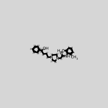 Cc1cccc(C)c1NC(=O)CN1CCN(CCCC(O)c2ccccc2)CC1